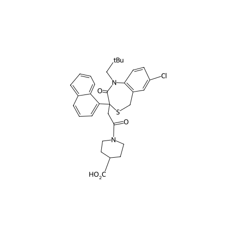 CC(C)(C)CN1C(=O)C(CC(=O)N2CCC(C(=O)O)CC2)(c2cccc3ccccc23)SCc2cc(Cl)ccc21